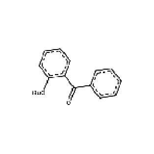 CC(C)COc1ccccc1C(=O)c1ccccc1